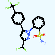 NS(=O)(=O)c1ccccc1-n1nc(C(F)F)cc1-c1ccc(C(F)(F)F)cc1